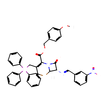 COc1ccc(COC(=O)C2=C(C[P+](c3ccccc3)(c3ccccc3)c3ccccc3)CS[C@@H]3[C@H](/N=C/c4cccc([N+](=O)[O-])c4)C(=O)N23)cc1